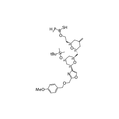 C=C1C[C@H](C[C@@H]2C[C@@H](O[Si](C)(C)C(C)(C)C)C[C@H](c3coc(COCc4ccc(OC)cc4)n3)O2)O[C@@H](CCOB(P)S)C1